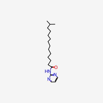 CC(C)CCCCCCCCCCCC(=O)Nc1ncccn1